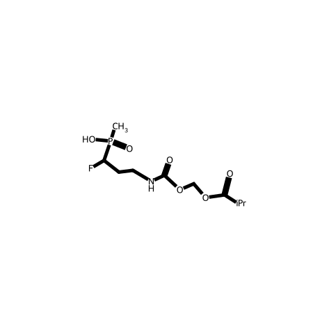 CC(C)C(=O)OCOC(=O)NCCC(F)P(C)(=O)O